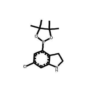 CC1(C)OB(c2cc(Cl)cc3c2CCN3)OC1(C)C